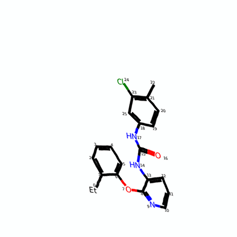 CCc1ccccc1Oc1ncccc1NC(=O)Nc1ccc(C)c(Cl)c1